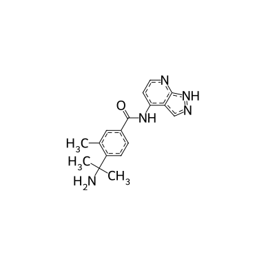 Cc1cc(C(=O)Nc2ccnc3[nH]ncc23)ccc1C(C)(C)N